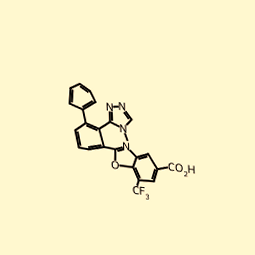 Cn1cnnc1-c1c(-c2ccccc2)cccc1-c1nc2cc(C(=O)O)cc(C(F)(F)F)c2o1